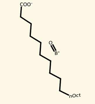 CCCCCCCCCCCCCCCCCC(=O)[O-].[B+]=O